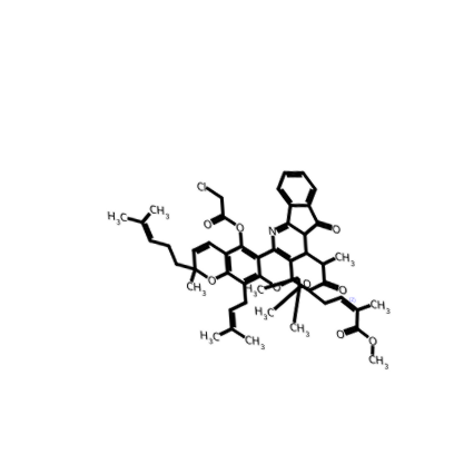 COC(=O)/C(C)=C\CC12OC(C)(C)C(C)C13Oc1c(CC=C(C)C)c4c(c(OC(=O)CCl)c1C1=C3C(C(C)C2=O)C2C(=O)c3ccccc3C2=N1)C=CC(C)(CCC=C(C)C)O4